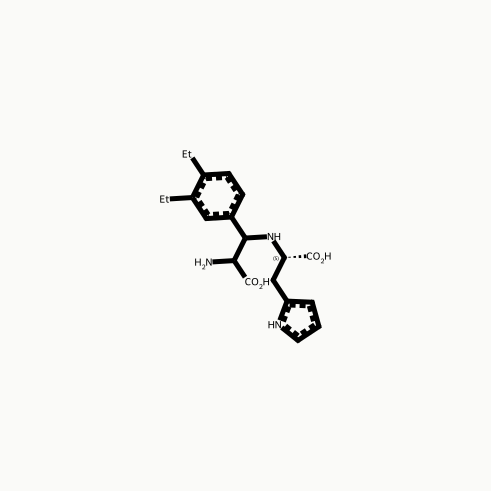 CCc1ccc(C(N[C@@H](Cc2ccc[nH]2)C(=O)O)C(N)C(=O)O)cc1CC